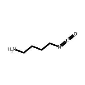 NCCCCN=C=O